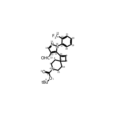 CC(C)(C)OC(=O)N1CCC2(CC=C2c2c(C=O)cnn2-c2ccccc2C(F)(F)F)CC1